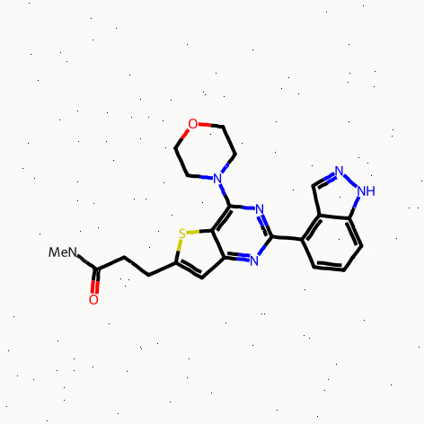 CNC(=O)CCc1cc2nc(-c3cccc4[nH]ncc34)nc(N3CCOCC3)c2s1